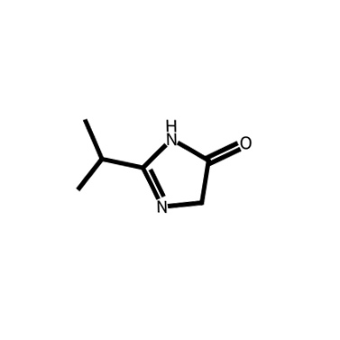 CC(C)C1=NCC(=O)N1